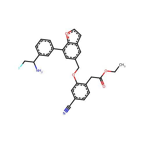 CCOC(=O)Cc1ccc(C#N)cc1OCc1cc(-c2cccc(C(N)CF)c2)c2occc2c1